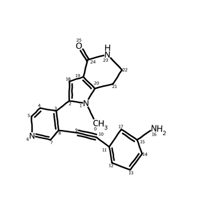 Cn1c(-c2ccncc2C#Cc2cccc(N)c2)cc2c1CCNC2=O